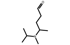 CC(C)N(C)C(C)CCC=O